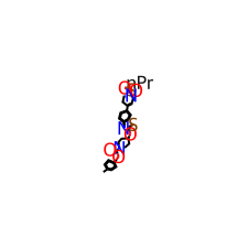 CCCS(=O)(=O)N1CC=C(c2ccc3nc(OC4CCN(C(=O)Oc5ccc(C)cc5)CC4)sc3c2)CC1